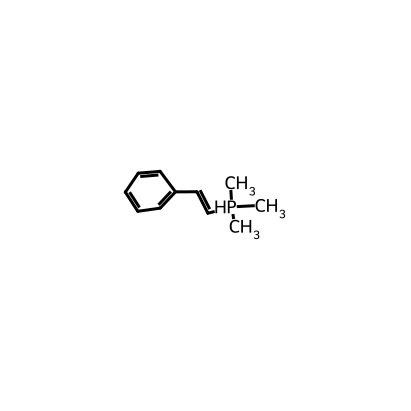 C[PH](C)(C)C=Cc1ccccc1